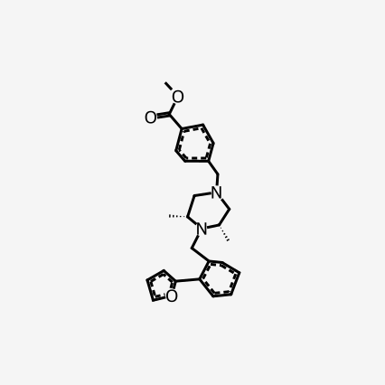 COC(=O)c1ccc(CN2C[C@@H](C)N(Cc3ccccc3-c3ccco3)[C@@H](C)C2)cc1